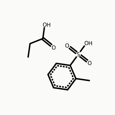 CCC(=O)O.Cc1ccccc1S(=O)(=O)O